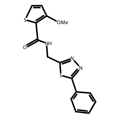 COc1ccsc1C(=O)NCc1nnc(-c2ccccc2)s1